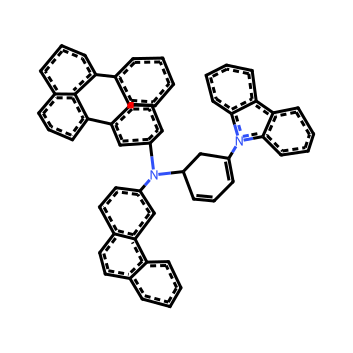 C1=CC(N(c2cccc(-c3cccc4cccc(-c5ccccc5)c34)c2)c2ccc3ccc4ccccc4c3c2)CC(n2c3ccccc3c3ccccc32)=C1